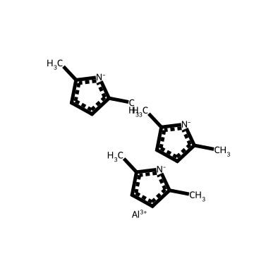 Cc1ccc(C)[n-]1.Cc1ccc(C)[n-]1.Cc1ccc(C)[n-]1.[Al+3]